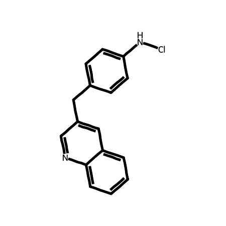 ClNc1ccc(Cc2cnc3ccccc3c2)cc1